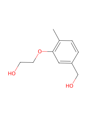 Cc1ccc(CO)cc1OCCO